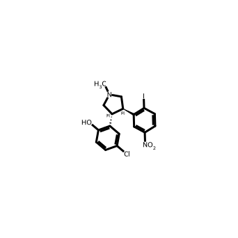 CN1C[C@@H](c2cc(Cl)ccc2O)[C@H](c2cc([N+](=O)[O-])ccc2I)C1